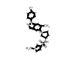 Cc1cc2c(cnn2-c2ccc(F)cc2)cc1N1CC[C@H](NS(=O)(=O)c2ccn(C)c2)C1